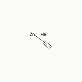 Br.C#[C][Zn]